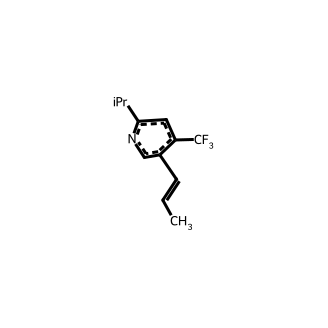 C/C=C/c1cnc(C(C)C)cc1C(F)(F)F